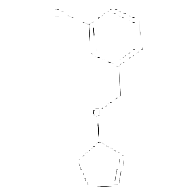 Brc1cccc(COC2C=CCC2)c1